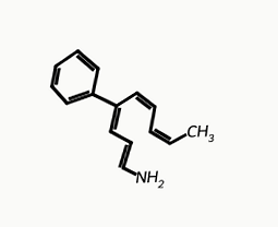 C\C=C/C=C\C(=C/C=C/N)c1ccccc1